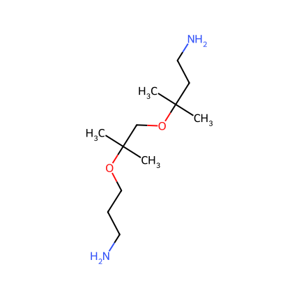 CC(C)(CCN)OCC(C)(C)OCCCN